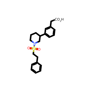 O=C(O)Cc1cccc(C2CCCN(S(=O)(=O)CCc3ccccc3)C2)c1